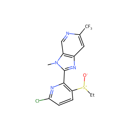 CC[S+]([O-])c1ccc(Cl)nc1-c1nc2cc(C(F)(F)F)ncc2n1C